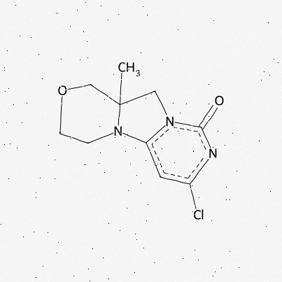 CC12COCCN1c1cc(Cl)nc(=O)n1C2